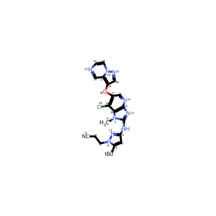 Cn1c(Nc2cc(C(C)(C)C)n(CCC#N)n2)nc2ncc(Oc3cnn4ccncc34)c(Cl)c21